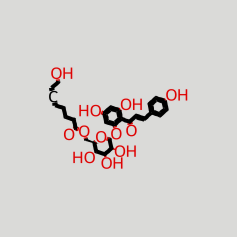 O=C(CCCC=C=CCO)OC[C@H]1O[C@@H](Oc2cc(O)cc(O)c2C(=O)C=Cc2ccc(O)cc2)[C@H](O)[C@@H](O)[C@@H]1O